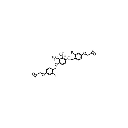 Fc1cc(OCC2CO2)ccc1COc1ccc(OCc2ccc(OCC3CO3)cc2F)c(C(F)(F)F)c1C(F)(F)F